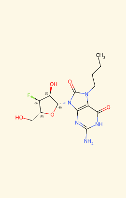 CCCCn1c(=O)n([C@@H]2O[C@H](CO)[C@@H](F)[C@H]2O)c2nc(N)[nH]c(=O)c21